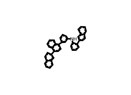 c1cc(Nc2ccccc2-c2ccc3ccccc3c2)cc(-c2ccc(-c3ccc4ccccc4c3)c3ccccc23)c1